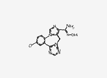 NC(=NO)c1ncn2c1Cn1ncnc1-c1cc(Cl)ccc1-2